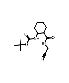 CC(C)(C)OC(=O)NC1CCCCC1C(=O)NCC#N